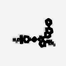 CNc1nccn2c1c(-c1ccc3ccc(-c4ccccc4)nc3c1)nc2[C@H]1C[C@@H](N2CCN(S(C)(=O)=O)CC2)C1